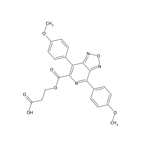 COc1ccc(-c2nc(C(=O)OCCC(=O)O)c(-c3ccc(OC)cc3)c3nonc23)cc1